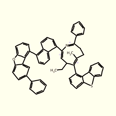 CCC1/C=C(c2cccc3c(-c4cccc5oc6ccc(-c7ccccc7)cc6c45)cccc23)\N=C(\c2ccccc2)CC/C(C)=C/1c1cccc2sc3ccccc3c12